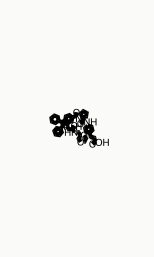 O=C(O)/C=C/c1ccc(NC(=O)C2(NC(=O)c3ccc4c(C5CCCCC5)c(-c5ccccc5)n(CC(=O)NCC5COCCO5)c4c3)CCCC2)cc1